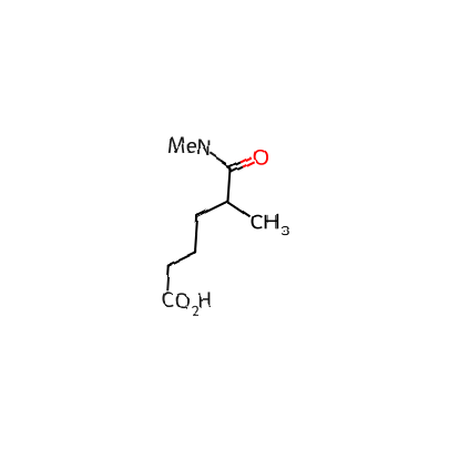 CNC(=O)C(C)CCCC(=O)O